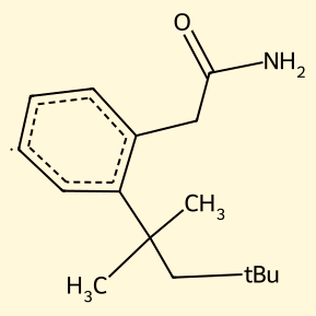 CC(C)(C)CC(C)(C)c1c[c]ccc1CC(N)=O